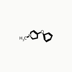 CN1CC=C(Oc2ccccc2)CC1